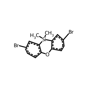 C[Si]1(C)c2cc(Br)ccc2Oc2ccc(Br)cc21